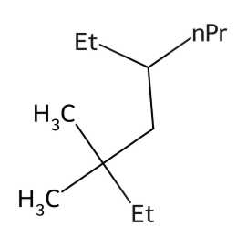 [CH2]CCC(CC)CC(C)(C)CC